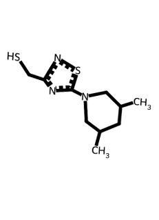 CC1CC(C)CN(c2nc(CS)ns2)C1